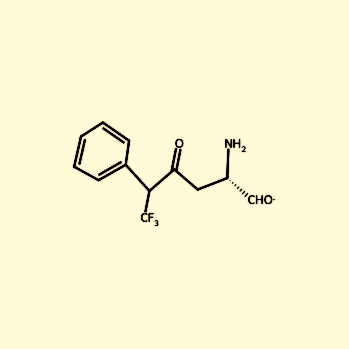 N[C@H]([C]=O)CC(=O)C(c1ccccc1)C(F)(F)F